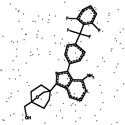 Nc1nccn2c(C34CCC(CO)(CC3)OC4)nc(-c3ccc(C(F)(F)c4c(F)cccc4F)cc3)c12